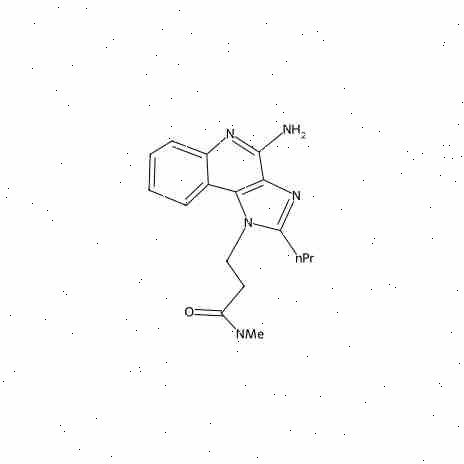 CCCc1nc2c(N)nc3ccccc3c2n1CCC(=O)NC